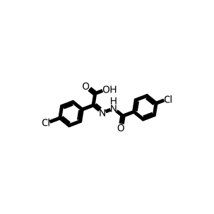 O=C(O)/C(=N\NC(=O)c1ccc(Cl)cc1)c1ccc(Cl)cc1